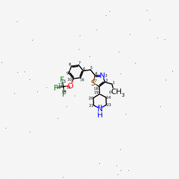 CCc1nc(Cc2cccc(OC(F)(F)F)c2)sc1C1CCNCC1